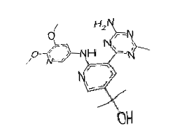 COc1cc(Nc2ncc(C(C)(C)O)cc2-c2nc(C)nc(N)n2)cnc1OC